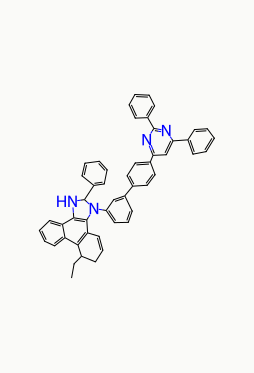 CCC1CC=Cc2c3c(c4ccccc4c21)NC(c1ccccc1)N3c1cccc(-c2ccc(-c3cc(-c4ccccc4)nc(-c4ccccc4)n3)cc2)c1